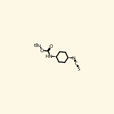 CC(C)(C)OC(=O)N[C@H]1CC[C@@H](N=C=S)CC1